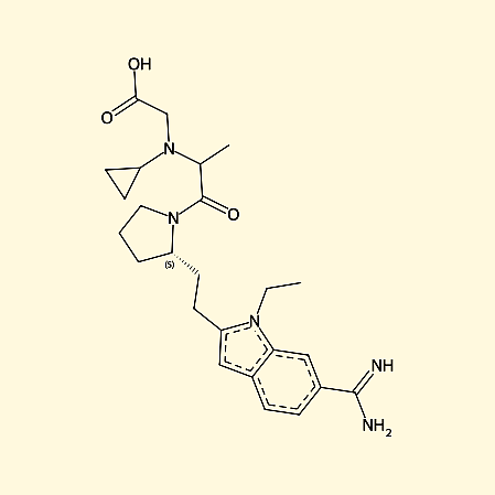 CCn1c(CC[C@@H]2CCCN2C(=O)C(C)N(CC(=O)O)C2CC2)cc2ccc(C(=N)N)cc21